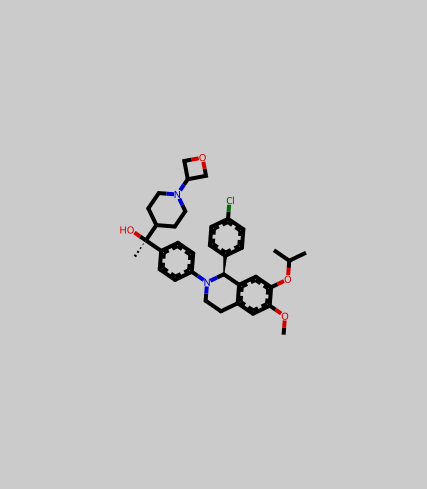 COc1cc2c(cc1OC(C)C)[C@H](c1ccc(Cl)cc1)N(c1ccc([C@@](C)(O)C3CCN(C4COC4)CC3)cc1)CC2